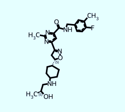 Cc1nc(C(=O)NCc2ccc(F)c(C)c2)cc(C2=NO[C@H](C3CCC(NC[C@H](C)O)CC3)C2)n1